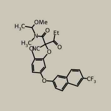 CCC(=O)C(C#N)(Oc1cc(Oc2ccc3cc(C(F)(F)F)ccc3c2)ccc1Cl)C(=O)N(C)C(C)OC